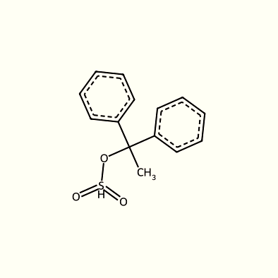 CC(O[SH](=O)=O)(c1ccccc1)c1ccccc1